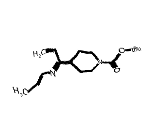 C=CC(=NC=CC)C1CCN(C(=O)OC(C)(C)C)CC1